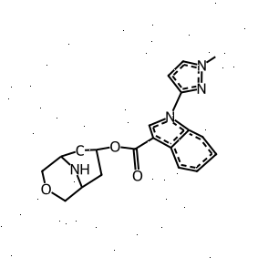 Cn1ccc(-n2cc(C(=O)OC3CC4COCC(C3)N4)c3ccccc32)n1